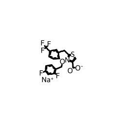 O=C([O-])c1csc(Cc2cc(C(F)(F)F)ccc2OCc2ccc(F)cc2F)n1.[Na+]